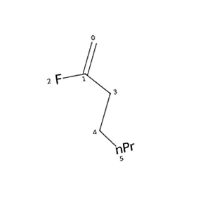 C=C(F)CCCCC